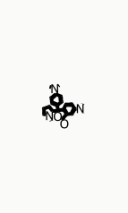 CN(C)c1ccc(C2(C3CCCN3C)OC(=O)c3cc(N(C)C)ccc32)cc1